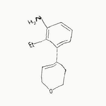 CCc1c(N)cccc1C1=CCOCC1